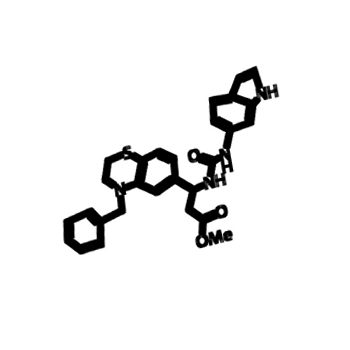 COC(=O)CC(NC(=O)Nc1ccc2cc[nH]c2c1)c1ccc2c(c1)N(Cc1ccccc1)CCS2